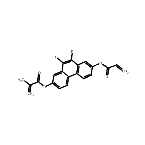 C=CC(=O)Oc1ccc2c(c1)c(F)c(F)c1cc(OC(=O)C(=C)C)ccc12